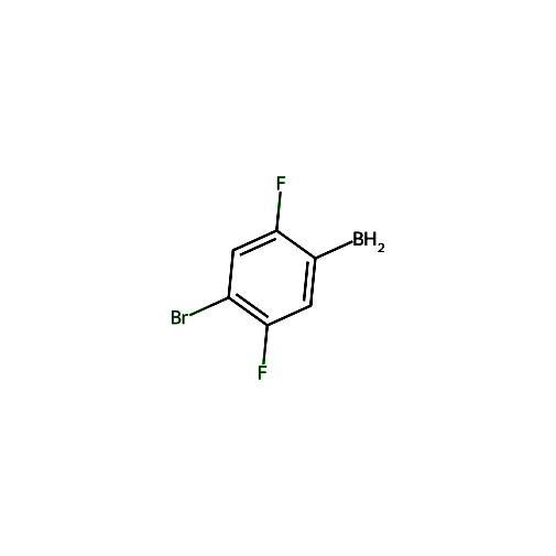 Bc1cc(F)c(Br)cc1F